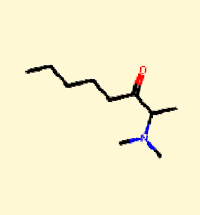 CCCCCC(=O)C(C)N(C)C